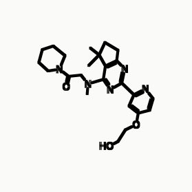 CN(CC(=O)N1CCCCC1)c1nc(-c2cc(OCCO)ccn2)nc2c1C(C)(C)CC2